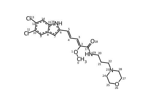 COC(=CC=Cc1cc2cc(Cl)c(Cl)cc2[nH]1)C(=O)NCCCN1CCOCC1